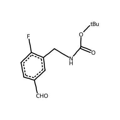 CC(C)(C)OC(=O)NCc1cc(C=O)ccc1F